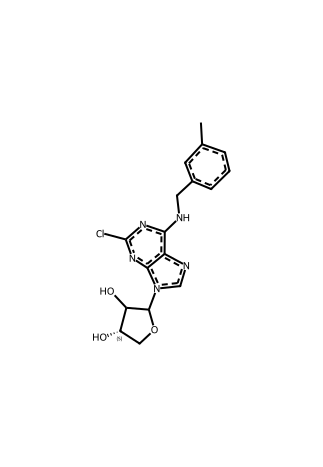 Cc1cccc(CNc2nc(Cl)nc3c2ncn3C2OC[C@H](O)C2O)c1